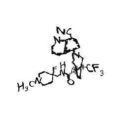 CN1CCC(F)(CNC(=O)[C@]23CN(c4ccc(C#N)c5ncccc45)C[C@@]2(C(F)(F)F)C3)CC1